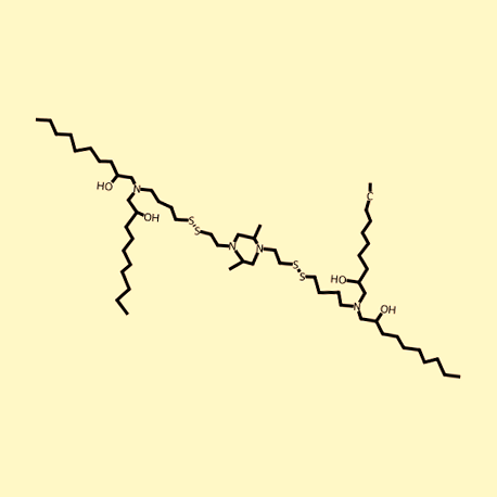 CCCCCCCCC(O)CN(CCCCSSCCN1CC(C)N(CCSSCCCCN(CC(O)CCCCCCCC)CC(O)CCCCCCCC)CC1C)CC(O)CCCCCCCC